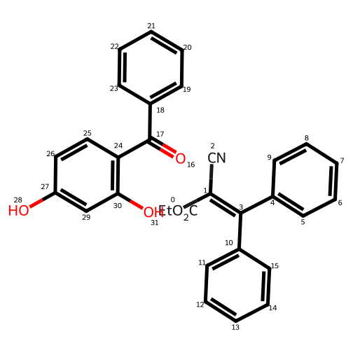 CCOC(=O)C(C#N)=C(c1ccccc1)c1ccccc1.O=C(c1ccccc1)c1ccc(O)cc1O